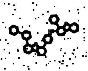 C1=c2c(oc3c(-c4cccc(-c5ccccc5)c4)cccc23)=C(c2ccc(Nc3ccc4c(oc5ccccc54)c3-c3ccccc3)cc2)CC1